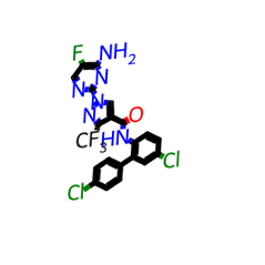 Nc1nc(-n2cc(C(=O)Nc3ccc(Cl)cc3-c3ccc(Cl)cc3)c(C(F)(F)F)n2)ncc1F